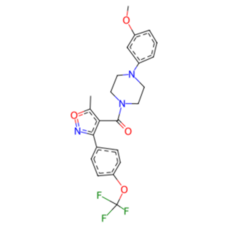 COc1cccc(N2CCN(C(=O)c3c(-c4ccc(OC(F)(F)F)cc4)noc3C)CC2)c1